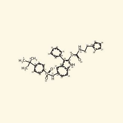 CC(C)(C)c1ccc(S(=O)(=O)Nc2ccc3[nH]c(OC(=O)NCCc4cccs4)c(-c4ccccc4)c3c2)cc1